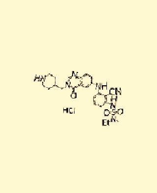 CCN(C)S(=O)(=O)Nc1cccc(Nc2ccc3ncn(CC4CCNCC4)c(=O)c3c2)c1C#N.Cl